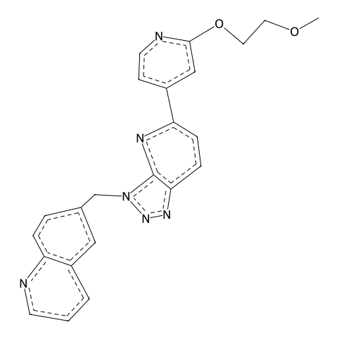 COCCOc1cc(-c2ccc3nnn(Cc4ccc5ncccc5c4)c3n2)ccn1